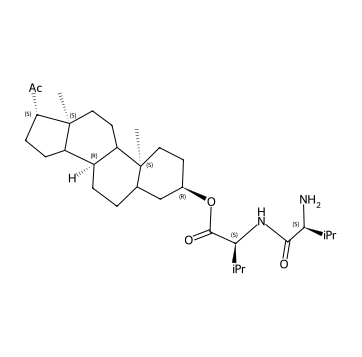 CC(=O)[C@H]1CCC2[C@@H]3CCC4C[C@H](OC(=O)[C@@H](NC(=O)[C@@H](N)C(C)C)C(C)C)CC[C@]4(C)C3CC[C@@]21C